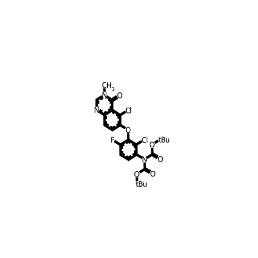 Cn1cnc2ccc(Oc3c(F)ccc(N(C(=O)OC(C)(C)C)C(=O)OC(C)(C)C)c3Cl)c(Cl)c2c1=O